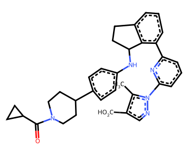 Cc1c(C(=O)O)cnn1-c1cccc(-c2cccc3c2C(Nc2ccc(C4CCN(C(=O)C5CC5)CC4)cc2)CC3)n1